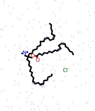 CCCCC/C=C\C/C=C\CCCCCCCCC(CCCCCCCC/C=C\C/C=C\CCCCC)(COC(=O)CCCCCCC/C=C\C/C=C\CCCCC)C[N+](C)(C)C.[Cl-]